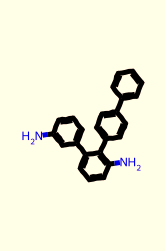 Nc1cccc(-c2cccc(N)c2-c2ccc(-c3ccccc3)cc2)c1